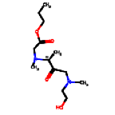 CCCOC(=O)CN(C)[C@@H](C)C(=O)CN(C)CCO